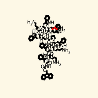 NCCCC[C@@H](NC(=O)[C@@H](Cc1c[nH]c2ccccc12)NC(=O)[C@@H](CCCCN)NC(=O)[C@@H](Cc1c[nH]c2ccccc12)NC(=O)CNC(=O)[C@H]1CCCN1C(=O)[C@@H](Cc1c[nH]c2ccccc12)NC(=O)[C@@H](CCCCN)NC(=O)[C@@H](Cc1c[nH]c2ccccc12)NC(=O)[C@@H](CCCCN)NC(=O)[C@@H](Cc1c[nH]c2ccccc12)NC(=O)OCC1c2ccccc2-c2ccccc21)C(=O)N[C@H](Cc1c[nH]c2ccccc12)C(=O)O